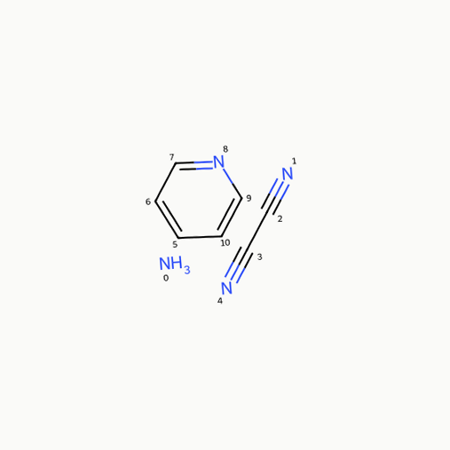 N.N#CC#N.c1ccncc1